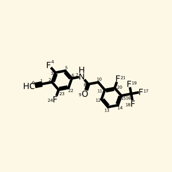 C#Cc1c(F)cc(NC(=O)Cc2cccc(C(F)(F)F)c2F)cc1F